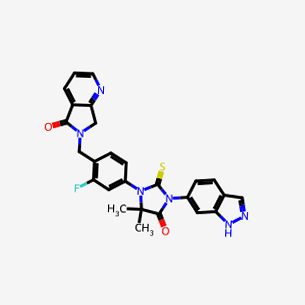 CC1(C)C(=O)N(c2ccc3cn[nH]c3c2)C(=S)N1c1ccc(CN2Cc3ncccc3C2=O)c(F)c1